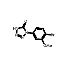 COc1cc(-n2nn[nH]c2=O)ccc1Br